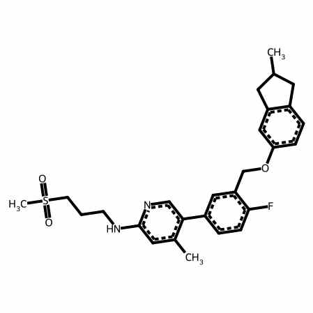 Cc1cc(NCCCS(C)(=O)=O)ncc1-c1ccc(F)c(COc2ccc3c(c2)CC(C)C3)c1